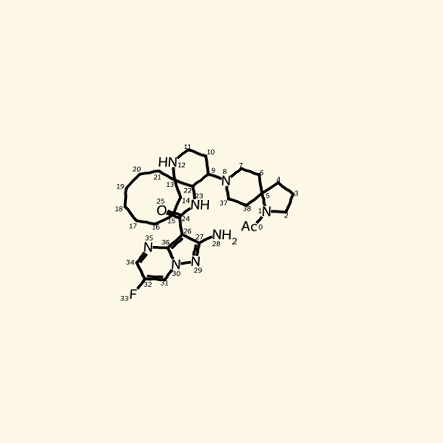 CC(=O)N1CCCC12CCN(C1CCNC3(CCCCCCCC3)C1NC(=O)c1c(N)nn3cc(F)cnc13)CC2